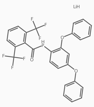 O=C(Pc1ccc(Oc2ccccc2)cc1Oc1ccccc1)c1c(C(F)(F)F)cccc1C(F)(F)F.[LiH]